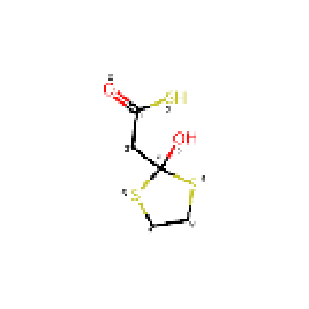 O=C(S)CC1(O)SCCS1